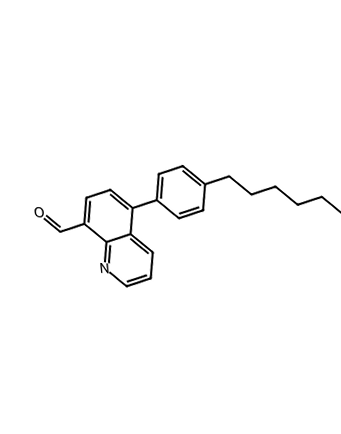 CCCCCCc1ccc(-c2ccc(C=O)c3ncccc23)cc1